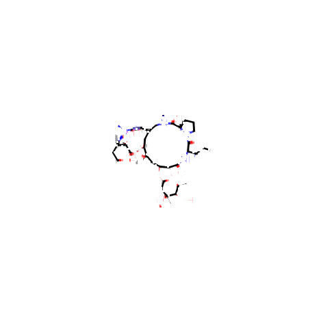 CC[C@H](C)C1NC(=O)[C@H](C)[C@@H](O[C@H]2C[C@@](C)(OC)[C@@H](O)[C@H](C)O2)[C@H](C)[C@H]2O[C@@H]3O[C@H](C)C[C@H]4[C@H]3O/C(=C\[C@@H](CN(C)C(=O)[C@@H]3CCCN3C1=O)C[C@@]2(C)O)N4C